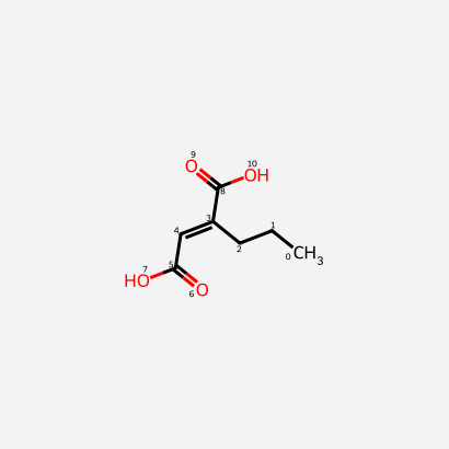 CCC/C(=C\C(=O)O)C(=O)O